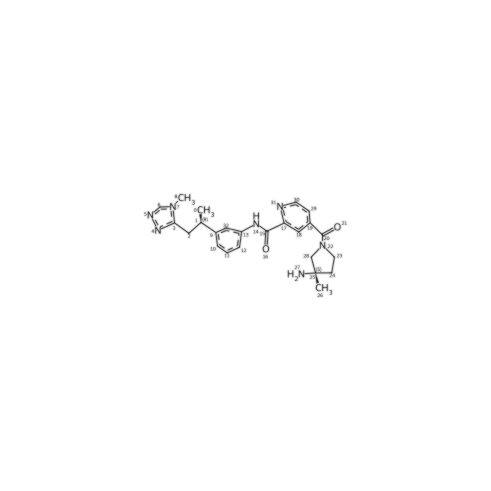 C[C@H](Cc1nncn1C)c1cccc(NC(=O)c2cc(C(=O)N3CC[C@](C)(N)C3)ccn2)c1